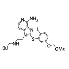 COCOc1ccc(I)c(Sc2nc3c(N)ncnc3n2CCNCC(C)(C)C)c1